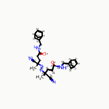 CC(C#N)(CCC(=O)NCC1CC2C=CC1C2)/N=N/C(C)(C#N)CCC(=O)NCC1CC2C=CC1C2